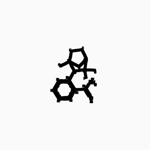 CC12CCC(C1)C(C)(C)C2c1ccccc1C(N)=O